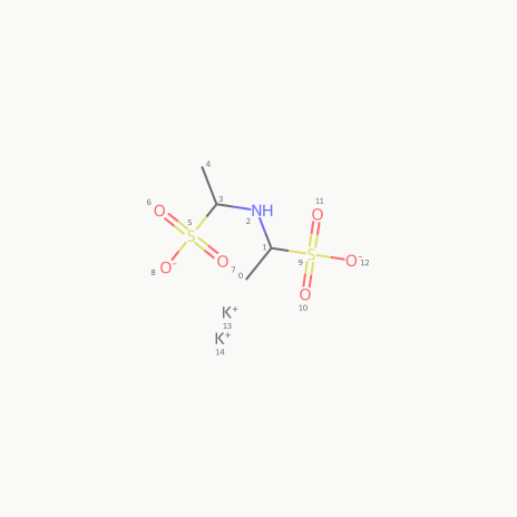 CC(NC(C)S(=O)(=O)[O-])S(=O)(=O)[O-].[K+].[K+]